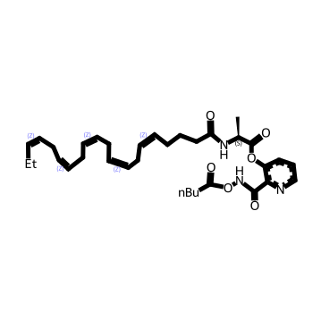 CC/C=C\C/C=C\C/C=C\C/C=C\C/C=C\CCCC(=O)N[C@@H](C)C(=O)Oc1cccnc1C(=O)NOC(=O)CCCC